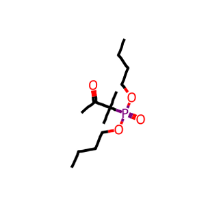 CCCCOP(=O)(OCCCC)C(C)(C)C(C)=O